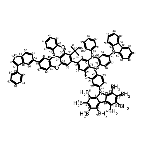 Bc1c(B)c(B)c2c(c1B)c1c(B)c(B)c(B)c(B)c1n2-c1ccc2c(c1)Sc1cc(-c3cc4c5c(c3C(C)(C)C)Oc3ccccc3B5c3cc(-c5ccc6scc(-c7ccccc7)c6c5)ccc3O4)cc3c1B2c1ccc(-n2c4ccccc4c4ccccc42)cc1N3c1ccccc1